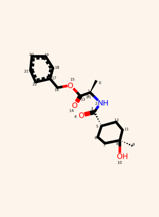 C[C@@H](NC(=O)[C@H]1CC[C@](C)(O)CC1)C(=O)OCc1ccccc1